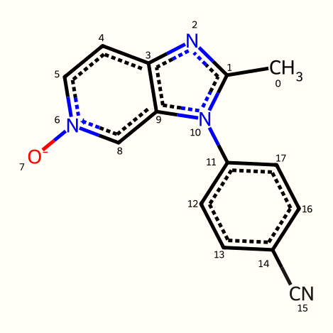 Cc1nc2cc[n+]([O-])cc2n1-c1ccc(C#N)cc1